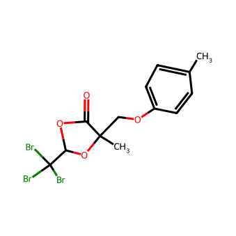 Cc1ccc(OCC2(C)OC(C(Br)(Br)Br)OC2=O)cc1